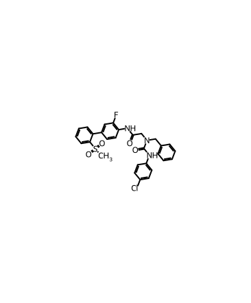 CS(=O)(=O)c1ccccc1-c1ccc(NC(=O)CN(Cc2ccccc2)C(=O)Nc2ccc(Cl)cc2)c(F)c1